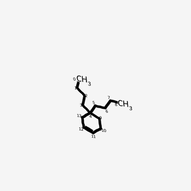 CCCCC1(CCCC)C[CH]C=CC1